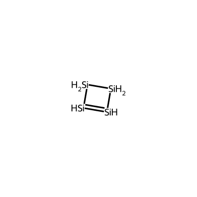 [SiH]1=[SiH][SiH2][SiH2]1